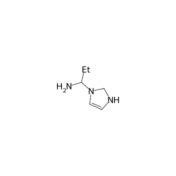 CCC(N)N1C=CNC1